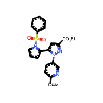 CCOC(=O)c1cc(-c2cccn2S(=O)(=O)c2ccccc2)n(-c2ccc(OC)nc2)n1